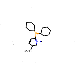 COc1ccc(P(C2CCCCC2)C2CCCCC2)[n+](C)c1